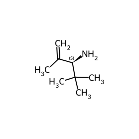 C=C(C)[C@@H](N)C(C)(C)C